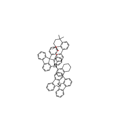 CC1(C)CCC(C)(C)c2c(-c3ccc(N(c4ccc(-c5cccc6c5[Si]5(c7ccccc7-c7ccccc75)c5ccccc5-6)c5c4CCCC5)c4cccc5c4C(c4ccccc4)(c4ccccc4)c4ccccc4-5)cc3)cccc21